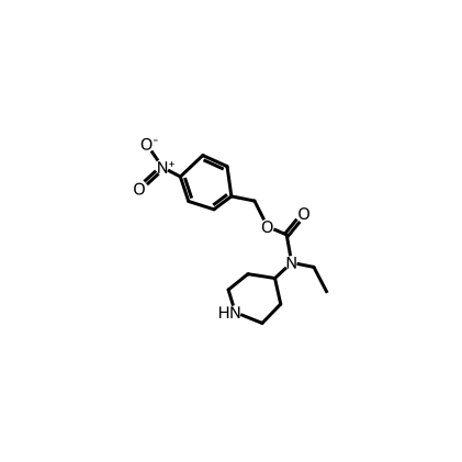 CCN(C(=O)OCc1ccc([N+](=O)[O-])cc1)C1CCNCC1